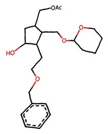 CC(=O)OCC1CC(O)C(CCOCc2ccccc2)C1COC1CCCCO1